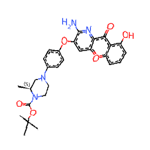 C[C@H]1CN(c2ccc(Oc3cc4oc5cccc(O)c5c(=O)c4nc3N)cc2)CCN1C(=O)OC(C)(C)C